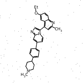 CCOc1ccc2nc(C)cc(-c3cnc4cc(-c5ccc(C6CCN(C)CC6)cc5)ccn34)c2c1